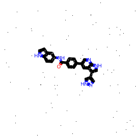 O=C(Nc1ccc2[nH]ccc2c1)c1ccc(-c2cnc3[nH]cc(-c4cn[nH]c4)c3c2)cc1